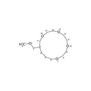 COCC1CCCOCCOCCOCCOC1